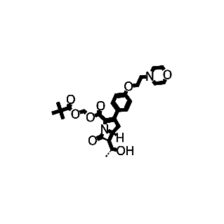 C[C@@H](O)[C@H]1C(=O)N2C(C(=O)OCOC(=O)C(C)(C)C)=C(c3ccc(OCCN4CCOCC4)cc3)C[C@H]12